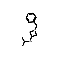 CC(C)NC1CN(Cc2ccccc2)C1